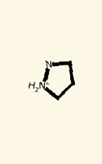 C1C[N-][NH2+]C1